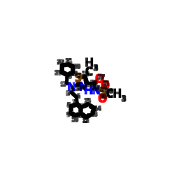 Cc1sc(N(CCc2cccc3ccccc23)Cc2ccccc2)nc1C(=O)NS(C)(=O)=O